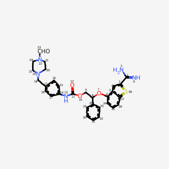 N=C(N)c1cc2c(OC(COC(=O)Nc3ccc(CN4CCN(C=O)CC4)cc3)c3ccccc3)cccc2s1